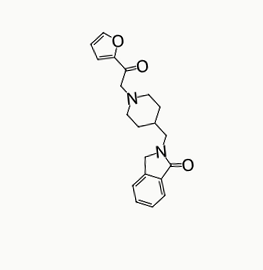 O=C(CN1CCC(CN2Cc3ccccc3C2=O)CC1)c1ccco1